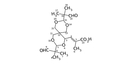 CC(=CC1OC(C(C)(C)C=O)OCC12COC(C(C)(C)C=O)OC2)C(=O)O